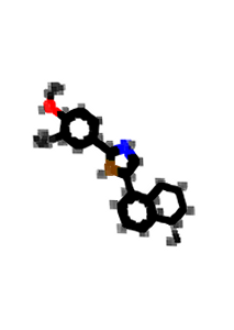 CC(C)Oc1ccc(-c2ncc(-c3cccc4c3CCC[C@@H]4C)s2)cc1C#N